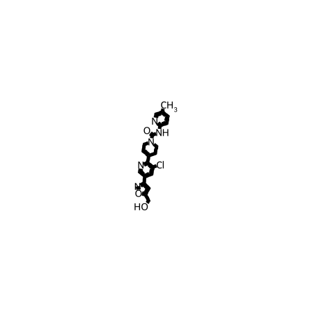 Cc1ccc(NC(=O)N2CC=C(c3ncc(-c4cc(CO)on4)cc3Cl)CC2)nc1